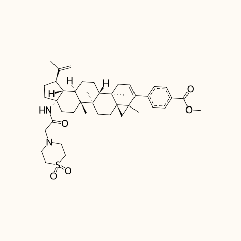 C=C(C)[C@@H]1CC[C@]2(NC(=O)CN3CCS(=O)(=O)CC3)CC[C@]3(C)[C@H](CC[C@@H]4[C@@]5(C)CC=C(c6ccc(C(=O)OC)cc6)C6(C)C[C@]65CC[C@]43C)[C@@H]12